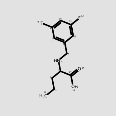 CCCC(NCc1cc(F)cc(F)c1)C(=O)O